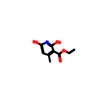 CCOC(=O)c1c(C)cc(O)nc1O